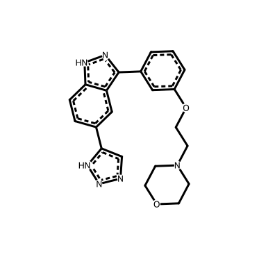 c1cc(OCCN2CCOCC2)cc(-c2n[nH]c3ccc(-c4cnn[nH]4)cc23)c1